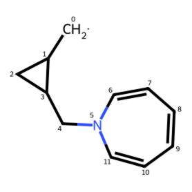 [CH2]C1CC1CN1C=CC=CC=C1